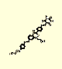 O=C1NC(=O)C(/N=N/c2ccc(C(=O)Nc3ccc(/N=N/c4ccc(SOOO)cc4)cc3OCCO)cc2)C(=O)N1